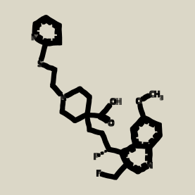 COc1ccc2ncc(CF)c([C@H](F)CCC3(C(=O)O)CCN(CCSc4ccccn4)CC3)c2c1